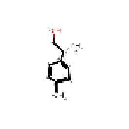 Cc1ccc([C@@H](C)CO)cc1